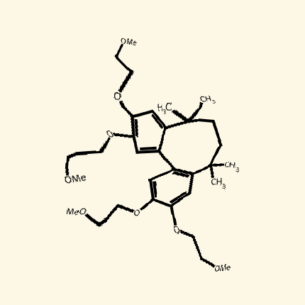 COCCOc1cc2c(cc1OCCOC)C(C)(C)CCC(C)(C)c1cc(OCCOC)c(OCCOC)cc1-2